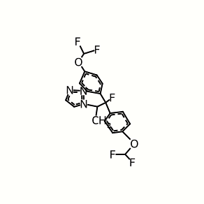 CC(n1ccnn1)C(F)(c1ccc(OC(F)F)cc1)c1ccc(OC(F)F)cc1